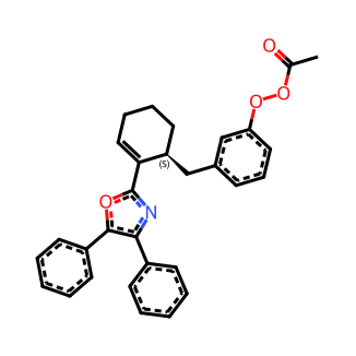 CC(=O)OOc1cccc(C[C@@H]2CCCC=C2c2nc(-c3ccccc3)c(-c3ccccc3)o2)c1